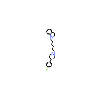 Fc1ccc(C2CCN(CCCCCCn3ccc4ccccc43)CC2)cc1